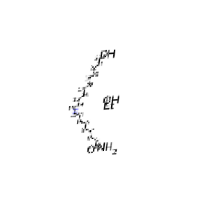 CCO.NC(=O)CCCCCCC/C=C\CCCCCCCCCCO